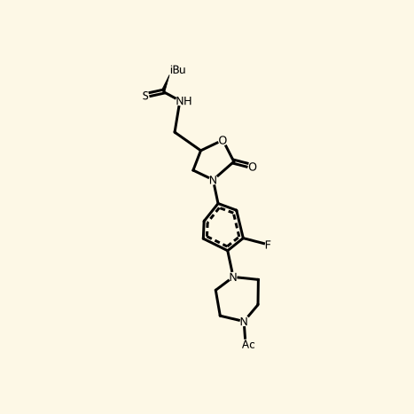 CC[C@H](C)C(=S)NCC1CN(c2ccc(N3CCN(C(C)=O)CC3)c(F)c2)C(=O)O1